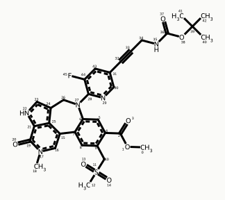 COC(=O)c1cc2c(cc1CS(C)(=O)=O)-c1cn(C)c(=O)c3[nH]cc(c13)CN2c1ncc(C#CCNC(=O)OC(C)(C)C)cc1F